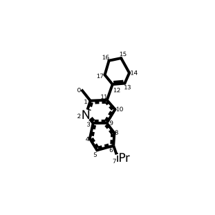 Cc1nc2ccc(C(C)C)cc2cc1C1=CCCCC1